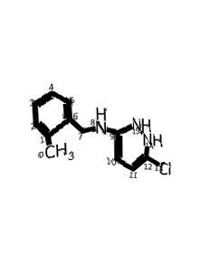 Cc1ccccc1CNC1=CC=C(Cl)NN1